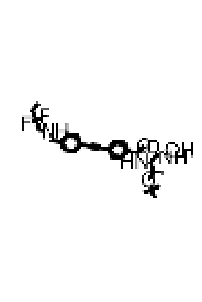 CCC(F)(F)CNCc1ccc(C#Cc2ccc(C(=O)N[C@H](C(=O)NO)[C@@H](C)OC(C)(C)C)cc2)cc1